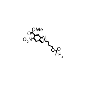 COC(=O)c1cc2nn(CCCOC(=O)C(F)(F)F)cc2cc1[N+](=O)[O-]